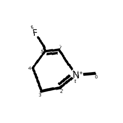 C[N+]1=CCCC(F)=C1